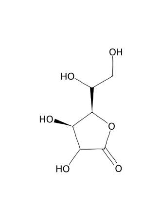 O=C1O[C@H](C(O)CO)[C@H](O)C1O